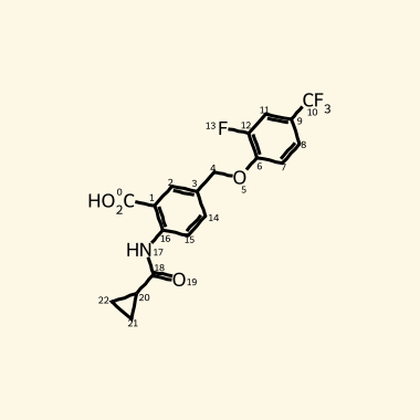 O=C(O)c1cc(COc2ccc(C(F)(F)F)cc2F)ccc1NC(=O)C1CC1